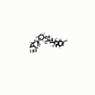 Cc1ccc2[nH]c(CNC(=O)N[C@@H]3CCCN(C(=O)CC4CCC4CO)C3)cc2c1